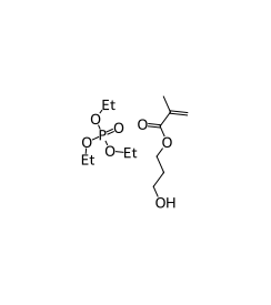 C=C(C)C(=O)OCCCO.CCOP(=O)(OCC)OCC